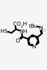 CC(C)(C)/N=C\c1cncc(C(=O)NC(CS)C(=O)O)c1